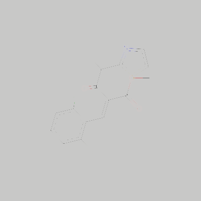 COC(=O)C(=Cc1c(Cl)cccc1Cl)C(=O)C(C)c1nccs1